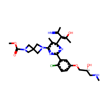 CNC[C@@H](O)COc1ccc(Cl)c(-c2nc(/C(C(C)=N)=C(\C)O)c(C)c(N3CC4(CN(C(=O)OC)C4)C3)n2)c1